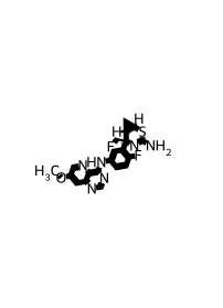 COc1cnc2c(Nc3ccc(F)c([C@@]4(CF)N=C(N)S[C@H]5C[C@H]54)c3)ncnc2c1